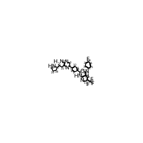 Nc1ncc(-c2ccc(CNc3ncc(C(F)(F)F)cc3C(=O)Nc3ccc(F)cc3)cc2)nc1CCC1CCCN1